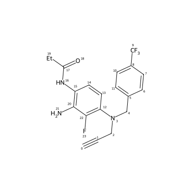 C#CCN(Cc1ccc(C(F)(F)F)cc1)c1ccc(NC(=O)CC)c(N)c1F